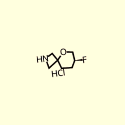 Cl.F[C@H]1CCC2(CNC2)OC1